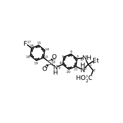 CCC1(CC(=O)O)Nc2ccc(NS(=O)(=O)c3ccc(F)cc3)cc2N1